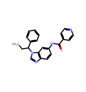 O=C(O)CC(c1ccccc1)n1cnc2ccc(NC(=O)c3ccncc3)cc21